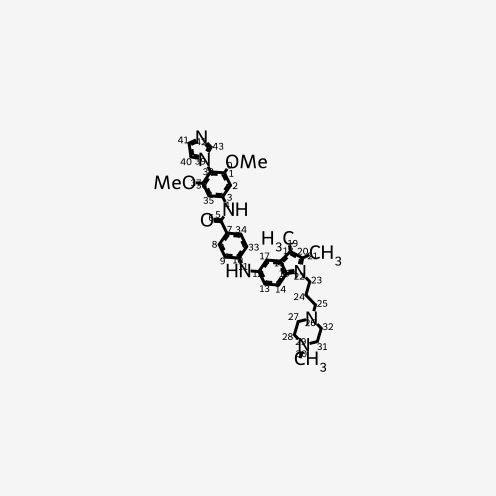 COc1cc(NC(=O)c2ccc(Nc3ccc4c(c3)c(C)c(C)n4CCCN3CCN(C)CC3)cc2)cc(OC)c1-n1ccnc1